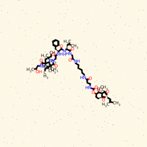 CCC(C)(C)CC(C)(CC(C)(C(=O)NCC(=O)N[C@@H](Cc1ccccc1)C(=O)N[C@@H](CC(C)C)C(=O)NCC(=O)NCCCCCCNC(=O)CCNC(=O)OC1CC[C@]2(CO2)C(C2(C)O[C@@H]2CC=C(C)C)C1OC)C(C)(C)CC)C(=O)NCC(C)O